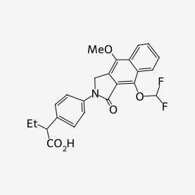 CCC(C(=O)O)c1ccc(N2Cc3c(c(OC(F)F)c4ccccc4c3OC)C2=O)cc1